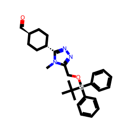 Cn1c(CO[Si](c2ccccc2)(c2ccccc2)C(C)(C)C)nnc1[C@H]1CC[C@H](C=O)CC1